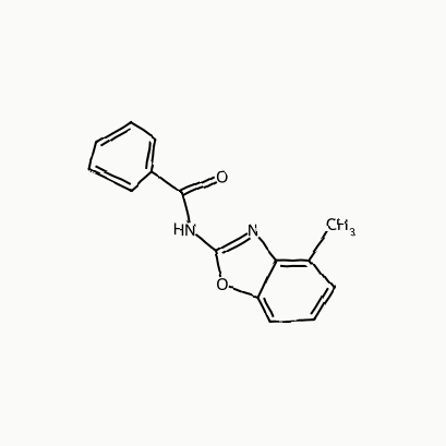 Cc1cccc2oc(NC(=O)c3ccccc3)nc12